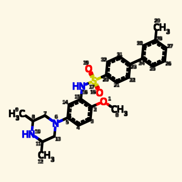 COc1ccc(N2CC(C)NC(C)C2)cc1NS(=O)(=O)c1ccc(-c2cccc(C)c2)cc1